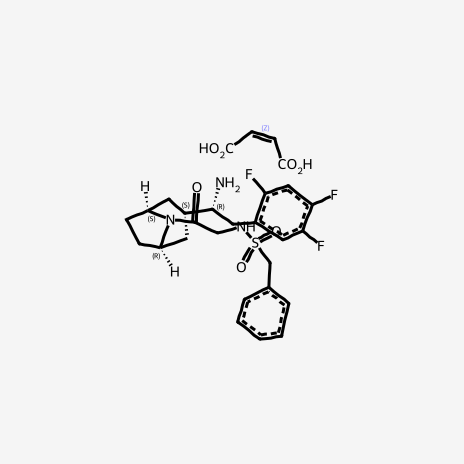 N[C@H](Cc1cc(F)c(F)cc1F)[C@@H]1C[C@H]2CC[C@@H](C1)N2C(=O)CNS(=O)(=O)Cc1ccccc1.O=C(O)/C=C\C(=O)O